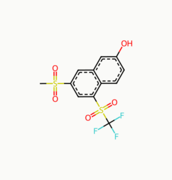 CS(=O)(=O)c1cc(S(=O)(=O)C(F)(F)F)c2ccc(O)cc2c1